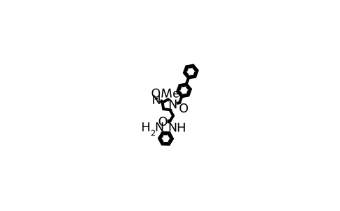 CON=C1CC(CC(=O)Nc2ccccc2N)N(C(=O)c2ccc(-c3ccccc3)cc2)C1